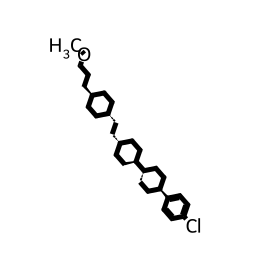 COCCC[C@H]1CC[C@H](CC[C@H]2CC[C@H]([C@H]3CC[C@H](c4ccc(Cl)cc4)CC3)CC2)CC1